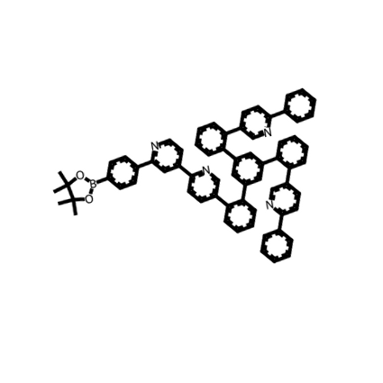 CC1(C)OB(c2ccc(-c3cc(-c4ccc(-c5ccccc5-c5cc(-c6ccccc6-c6ccc(-c7ccccc7)nc6)cc(-c6ccccc6-c6ccc(-c7ccccc7)nc6)c5)cn4)ccn3)cc2)OC1(C)C